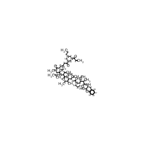 C=CCN1CN(C(=O)C=C)CN(C(=O)CCSCC(=O)N(C)[C@H](C(=O)N[C@H](C(=O)N(C)[C@@H]([C@@H](C)CC)[C@@H](CC(=O)N2CCC[C@H]2[C@H](OC)[C@@H](C)C(=O)N[C@@H](Cc2ccccc2)C(O)O)OC)C(C)C)C(C)C)C1